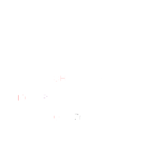 Cc1ccc([CH2][Zn][O]P(O)O)cc1